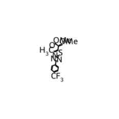 CO/C=C(\C(=O)OC)c1sc2nc(-c3ccc(C(F)(F)F)cc3)nn2c1C